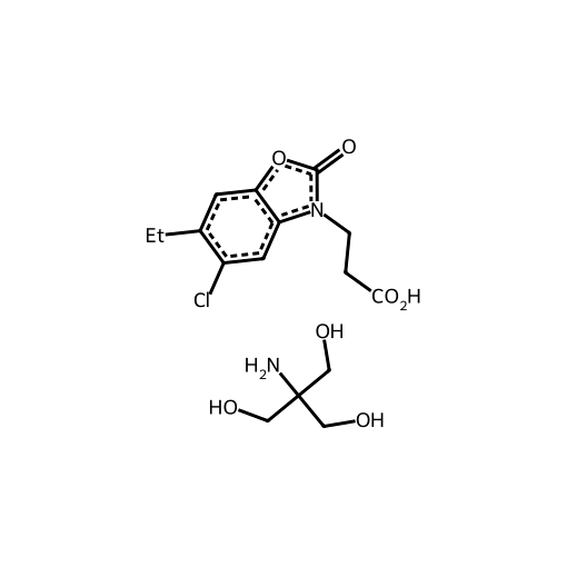 CCc1cc2oc(=O)n(CCC(=O)O)c2cc1Cl.NC(CO)(CO)CO